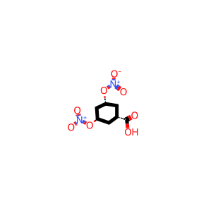 O=C(O)[C@@H]1C[C@H](O[N+](=O)[O-])C[C@H](O[N+](=O)[O-])C1